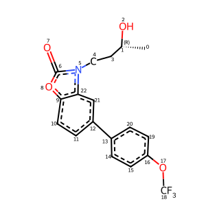 C[C@@H](O)CCn1c(=O)oc2ccc(-c3ccc(OC(F)(F)F)cc3)cc21